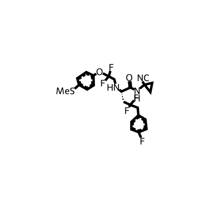 CSc1ccc(OC(F)(F)CN[C@@H](CC(F)(F)Cc2ccc(F)cc2)C(=O)NC2(C#N)CC2)cc1